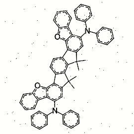 CC1(C)c2cc(N(c3ccccc3)c3ccccc3)c3c(oc4ccccc43)c2-c2ccc3c(c21)C(C)(C)c1cc(N(c2ccccc2)c2ccccc2)c2c(oc4ccccc42)c1-3